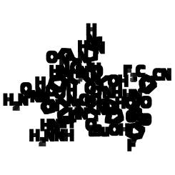 CC(C)C[C@H](NC(=O)[C@@H](COC(C)(C)C)NC(=O)[C@H](Cc1ccc(O)cc1)NC(=O)[C@H](CO)NC(=O)[C@H](Cc1c[nH]c2ccccc12)NC(=O)[C@H](Cc1c[nH]cn1)NC(=O)[C@@H]1CCC(=O)N1)C(=O)N[C@@H](CCCNC(=N)N)C(=O)N1CCC[C@H]1C(=O)NNC(N)=O.CC(O)(CS(=O)(=O)c1ccc(F)cc1)C(=O)Nc1ccc(C#N)c(C(F)(F)F)c1